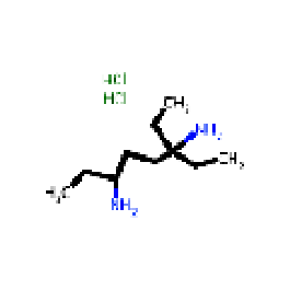 CCC(N)CCC(N)(CC)CC.Cl.Cl